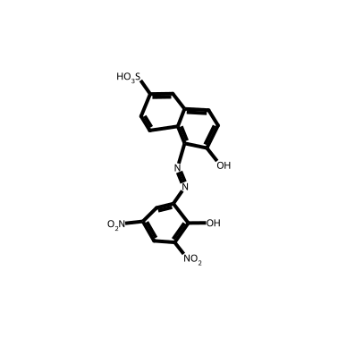 O=[N+]([O-])c1cc(N=Nc2c(O)ccc3cc(S(=O)(=O)O)ccc23)c(O)c([N+](=O)[O-])c1